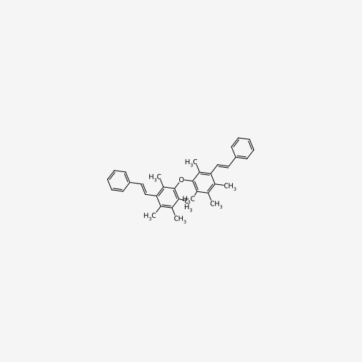 Cc1c(C)c(/C=C/c2ccccc2)c(C)c(Oc2c(C)c(C)c(C)c(/C=C/c3ccccc3)c2C)c1C